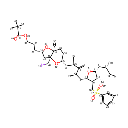 C=C([C@H](C)CC1O[C@H](C[C@H](C)CC)[C@H](C)[C@H]1CS(=O)(=O)c1ccccc1)[C@H](C)C[C@H]1CC[C@@H]2O[C@@H](CCCOC(=O)C(C)(C)C)C[C@]2(CI)O1